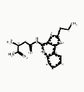 CCCc1nc2c(NC(=O)CC(C)C(N)=O)nc3ccccc3c2s1